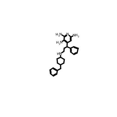 Nc1cc(C(CCNC2CCC(Cc3ccccc3)CC2)c2ccccc2)c(N)c(N)n1